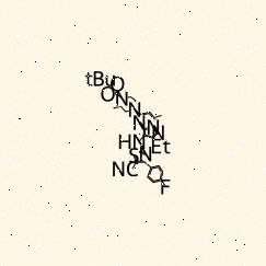 CCc1nn2c(C)cc(N3CCN(C(=O)OC(C)(C)C)[C@H](C)C3)nc2c1Nc1nc(-c2ccc(F)cc2)c(C#N)s1